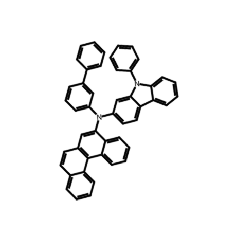 c1ccc(-c2cccc(N(c3ccc4c5ccccc5n(-c5ccccc5)c4c3)c3cc4ccc5ccccc5c4c4ccccc34)c2)cc1